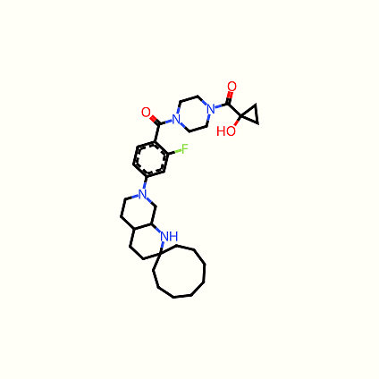 O=C(c1ccc(N2CCC3CCC4(CCCCCCCC4)NC3C2)cc1F)N1CCN(C(=O)C2(O)CC2)CC1